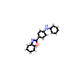 c1ccc(Nc2ccc(-c3nc4ccccc4o3)cc2)cc1